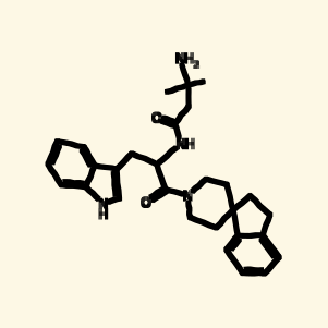 CC(C)(N)CC(=O)NC(Cc1c[nH]c2ccccc12)C(=O)N1CCC2(CCc3ccccc32)CC1